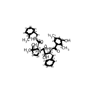 Cc1cc(O)c(C)c(C(=O)N[C@@H](Cc2ccccc2)[C@H](O)C(=O)N2CSC(C)(C)[C@H]2C(=O)NCc2ccccc2C)c1